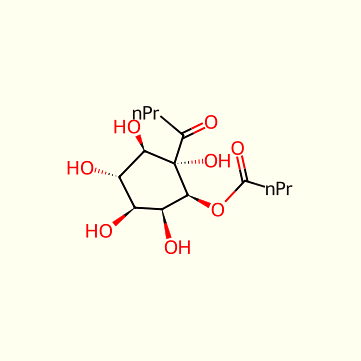 CCCC(=O)O[C@H]1[C@@H](O)[C@@H](O)[C@H](O)[C@@H](O)[C@@]1(O)C(=O)CCC